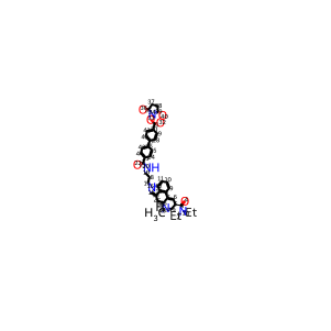 CCN(CC)C(=O)[C@@H]1C=C2c3cccc4c3c(cn4CCCNC(=O)c3ccc(-c4ccc(C(=O)ON5C(=O)CCC5=O)cc4)cc3)C[C@H]2N(C)C1